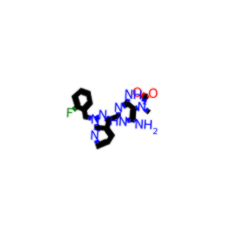 COC(=O)N(C)C1=C(N)NC(c2nn(Cc3ccccc3F)c3ncccc23)N=C1N